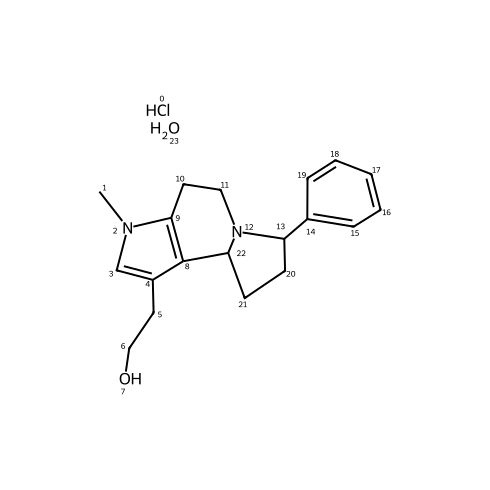 Cl.Cn1cc(CCO)c2c1CCN1C(c3ccccc3)CCC21.O